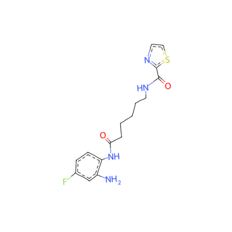 Nc1cc(F)ccc1NC(=O)CCCCCNC(=O)c1nccs1